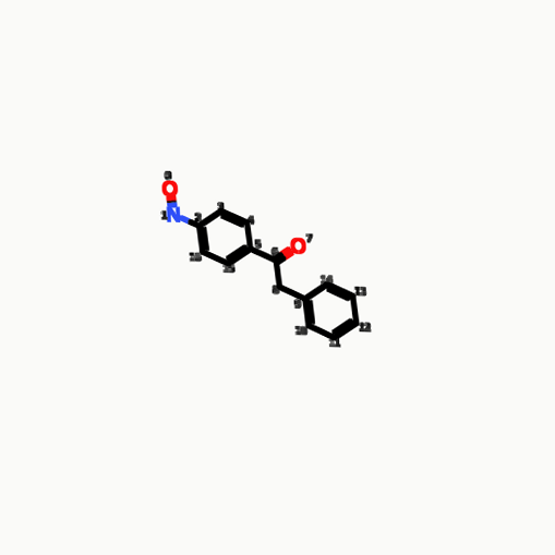 O=Nc1ccc(C(=O)Cc2ccccc2)cc1